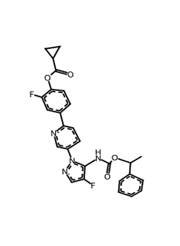 CC(OC(=O)Nc1c(F)cnn1-c1ccc(-c2ccc(OC(=O)C3CC3)c(F)c2)nc1)c1ccccc1